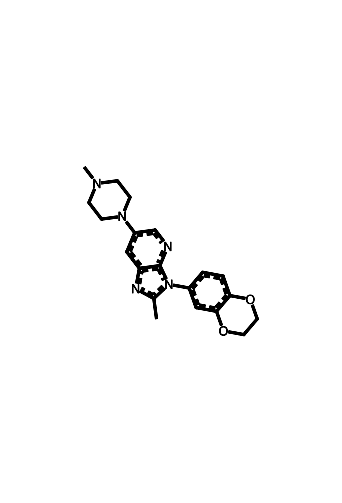 Cc1nc2cc(N3CCN(C)CC3)cnc2n1-c1ccc2c(c1)OCCO2